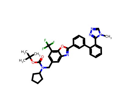 Cn1cnnc1-c1ccccc1-c1cccc(-c2nc3cc(CN(C(=O)OC(C)(C)C)C4CCCC4)cc(C(F)(F)F)c3o2)c1